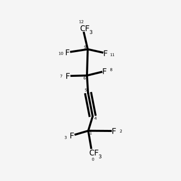 FC(F)(F)C(F)(F)C#CC(F)(F)C(F)(F)C(F)(F)F